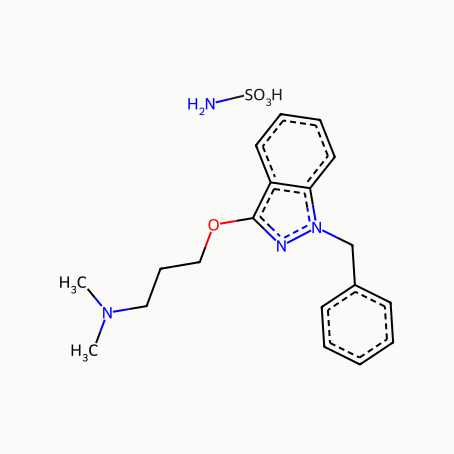 CN(C)CCCOc1nn(Cc2ccccc2)c2ccccc12.NS(=O)(=O)O